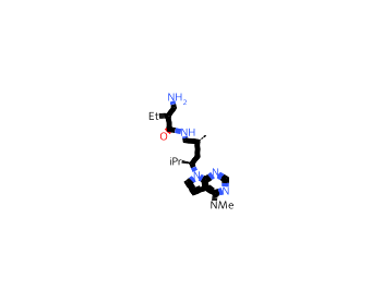 CCC(CN)C(=O)NC[C@H](C)C[C@H](C(C)C)n1ccc2c(NC)ncnc21